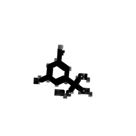 CC(C)(C(=O)O)c1cc(Br)cc(Br)c1